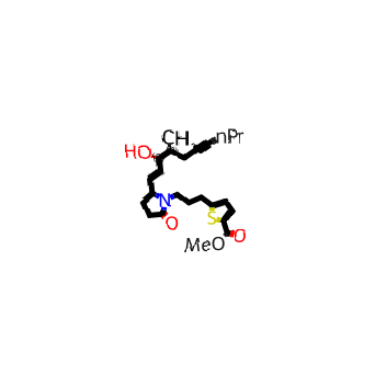 CCCC#CC[C@@H](C)[C@H](O)C=CC1CCC(=O)N1CCCc1ccc(C(=O)OC)s1